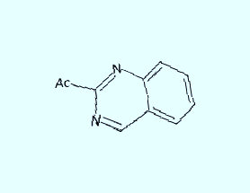 CC(=O)c1ncc2ccccc2n1